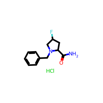 Cl.NC(=O)C1CC(F)CN1Cc1ccccc1